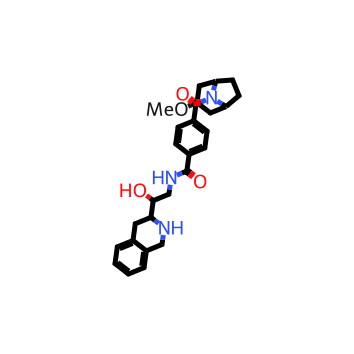 COC1CC2CCC(C1)N2C(=O)c1ccc(C(=O)NCC(O)C2Cc3ccccc3CN2)cc1